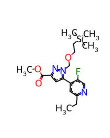 CCc1cc(-c2cc(C(=O)OC)nn2COCC[Si](C)(C)C)c(F)cn1